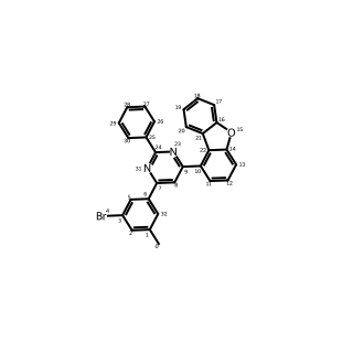 Cc1cc(Br)cc(-c2cc(-c3cccc4oc5ccccc5c34)nc(-c3ccccc3)n2)c1